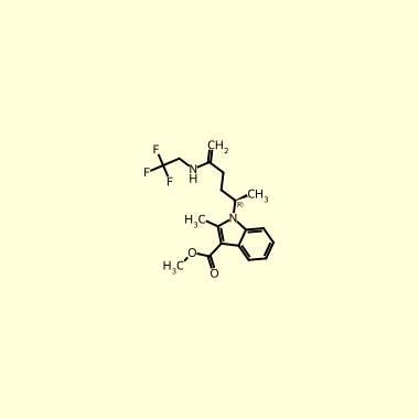 C=C(CC[C@@H](C)n1c(C)c(C(=O)OC)c2ccccc21)NCC(F)(F)F